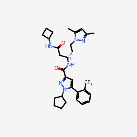 Cc1cc(C)n(CC[C@@H](CC(=O)NC2CCC2)NC(=O)c2cc(-c3ccccc3C(F)(F)F)n(C3CCCC3)n2)n1